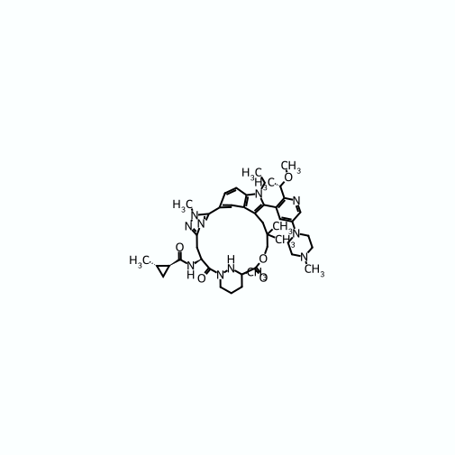 CCn1c(-c2cc(N3CCN(C)CC3)cnc2[C@H](C)OC)c2c3cc(ccc31)-c1nc(nn1C)C[C@H](NC(=O)[C@H]1C[C@@H]1C)C(=O)N1CCC[C@@](C)(N1)C(=O)OCC(C)(C)C2